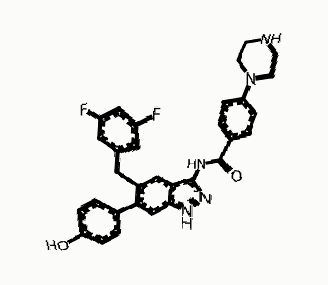 O=C(Nc1n[nH]c2cc(-c3ccc(O)cc3)c(Cc3cc(F)cc(F)c3)cc12)c1ccc(N2CCNCC2)cc1